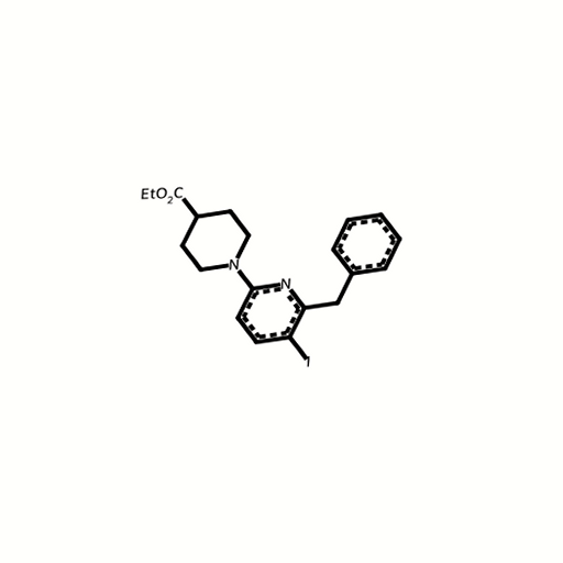 CCOC(=O)C1CCN(c2ccc(I)c(Cc3ccccc3)n2)CC1